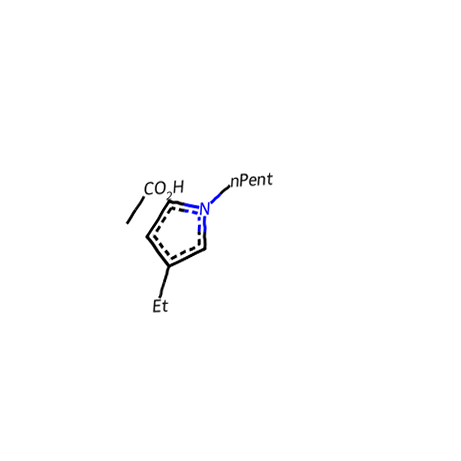 CC(=O)O.CCCCCn1ccc(CC)c1